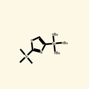 CCC[CH2][Sn]([CH2]CCC)([CH2]CCC)[c]1csc([Si](C)(C)C)n1